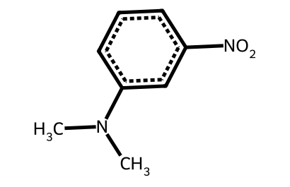 CN(C)c1cccc([N+](=O)[O-])c1